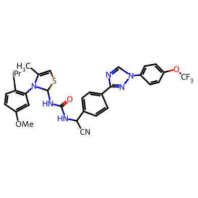 COc1ccc(C(C)C)c(N2C(C)=CSC2NC(=O)NC(C#N)c2ccc(-c3ncn(-c4ccc(OC(F)(F)F)cc4)n3)cc2)c1